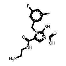 NCCNC(=O)c1cnc(S)n1Cc1cc(F)cc(F)c1.O=CO